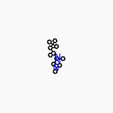 c1ccc(-c2nc(-c3ccc(-c4cccc5c4-c4ccccc4C5(c4ccccc4)c4ccccc4)c4ccccc34)cc(-c3cccc4c3c3ccccc3n4-c3ccccc3)n2)cc1